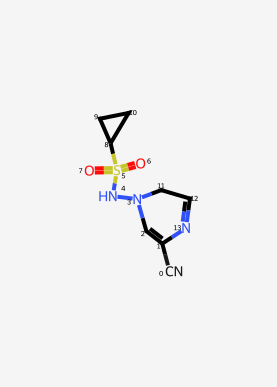 N#CC1=CN(NS(=O)(=O)C2CC2)CC=N1